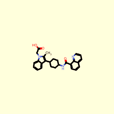 Cc1c(C2CCC(NC(=O)c3cccc4cccnc34)CC2)c2ccccc2n1CC(=O)O